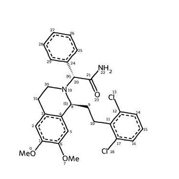 COc1cc2c(cc1OC)[C@H](CCc1c(Cl)cccc1Cl)N([C@@H](C(N)=O)c1ccccc1)CC2